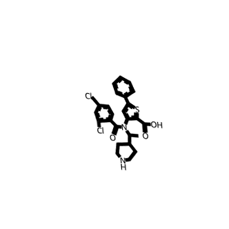 CC(C1CCNCC1)N(C(=O)c1ccc(Cl)cc1Cl)c1cc(-c2ccccc2)sc1C(=O)O